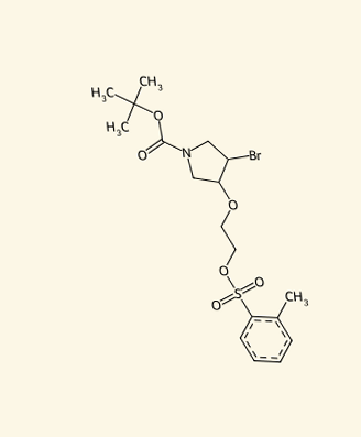 Cc1ccccc1S(=O)(=O)OCCOC1CN(C(=O)OC(C)(C)C)CC1Br